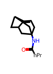 CCCC(=O)NC12CC=C3C(CC3C1)C2